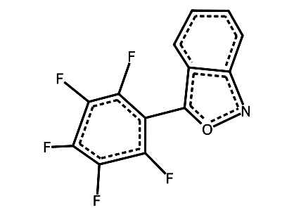 Fc1c(F)c(F)c(-c2onc3ccccc23)c(F)c1F